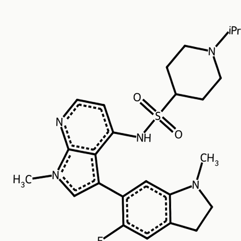 CC(C)N1CCC(S(=O)(=O)Nc2ccnc3c2c(-c2cc4c(cc2F)CCN4C)cn3C)CC1